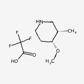 CO[C@@H]1CCNC[C@@H]1C.O=C(O)C(F)(F)F